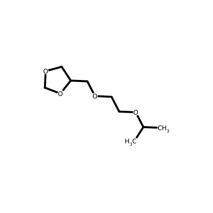 CC(C)OCCOCC1COCO1